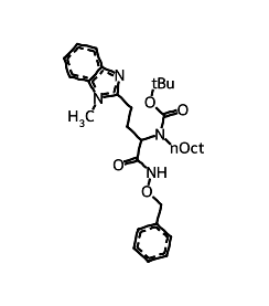 CCCCCCCCN(C(=O)OC(C)(C)C)C(CCc1nc2ccccc2n1C)C(=O)NOCc1ccccc1